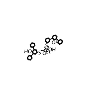 CCC(O)(CSc1cccc(-c2cccc(-c3ccccc3)c2O)c1)C(C)C(=O)CSc1cc(-c2ccccc2)c(O)c(-c2ccccc2)c1